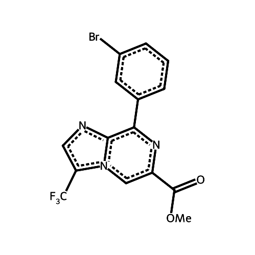 COC(=O)c1cn2c(C(F)(F)F)cnc2c(-c2cccc(Br)c2)n1